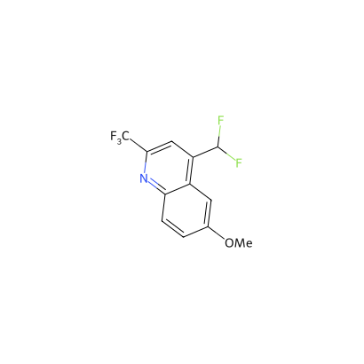 COc1ccc2nc(C(F)(F)F)cc(C(F)F)c2c1